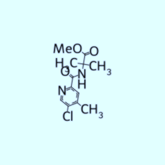 COC(=O)C(C)(C)NC(=O)c1cc(C)c(Cl)cn1